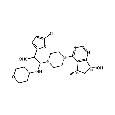 C[C@@H]1C[C@@H](O)c2ncnc(N3CCN(C(NC4CCOCC4)C(C=O)c4ccc(Cl)s4)CC3)c21